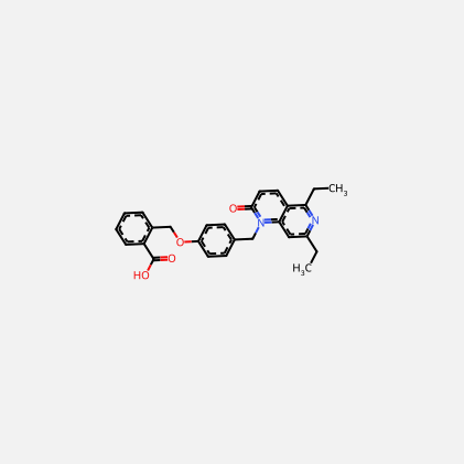 CCc1cc2c(ccc(=O)n2Cc2ccc(OCc3ccccc3C(=O)O)cc2)c(CC)n1